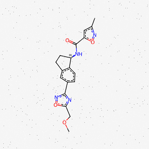 COCc1nc(-c2ccc3c(c2)CC[C@H]3NC(=O)c2cc(C)no2)no1